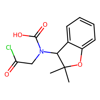 CC1(C)Oc2ccccc2C1N(CC(=O)Cl)C(=O)O